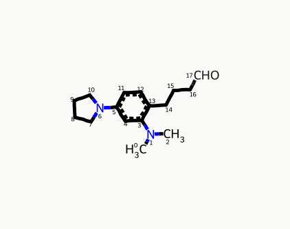 CN(C)c1cc(N2CCCC2)ccc1CCCC=O